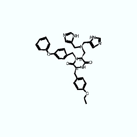 CCOc1ccc(C[C@@H]2NC(=O)[C@H](CN(Cc3cnc[nH]3)Cc3cnc[nH]3)N(Cc3ccc(Oc4ccccc4)cc3)C2=O)cc1